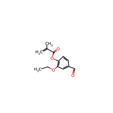 C=C(C)C(=O)Oc1ccc(C=O)cc1OCC